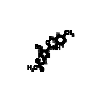 Cc1ccc(NC(=O)c2nn(CS(C)(=O)=O)nc2Br)c(F)c1